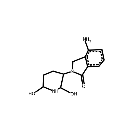 Nc1cccc2c1CN(C1CCC(O)NC1O)C2=O